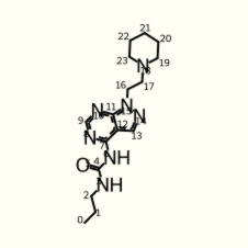 CCCNC(=O)Nc1ncnc2c1cnn2CCN1CCCCC1